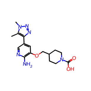 Cc1c(-c2cnc(N)c(OCC3CCN(C(=O)O)CC3)c2)nnn1C